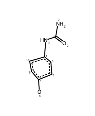 NC(=O)Nc1ccc([O])cc1